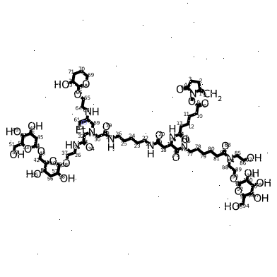 C=C1CCC(=O)N1OC(=O)CCCCC(=O)NC(CC(=O)NCCCCCNC(=O)CN(CC(=O)NCCO[C@H]1OC(CO[C@@H]2CC(O)[C@H](O)C(CO)O2)[C@@H](O)CC1O)C/C(=C\CC)NCCOC1OCCCC1O)C(=O)NCCCCCC(=O)N(CCO)CCO[C@H]1OC(CO)[C@@H](O)C(O)C1O